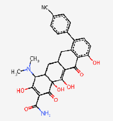 CN(C)C1C(O)=C(C(N)=O)C(=O)C2(O)C(O)=C3C(=O)c4c(O)ccc(-c5ccc(C#N)cc5)c4CC3CC12